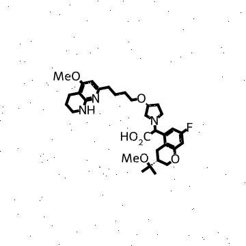 COc1cc(CCCCO[C@@H]2CCN(C(C(=O)O)c3cc(F)cc4c3C[C@@H](C(C)(C)OC)CO4)C2)nc2c1CCCN2